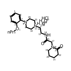 CCCOc1ccccc1N1CCN(CCNC(=O)CN2CCCCC2=O)CC1.Cl.O.O